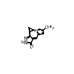 Cc1c[nH]c(/C=C2/C(=O)NN=C2C2CC2)c1